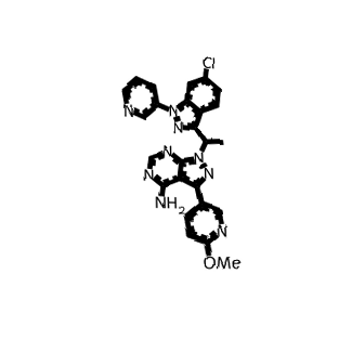 COc1ccc(-c2nn(C(C)c3nn(-c4cccnc4)c4cc(Cl)ccc34)c3ncnc(N)c23)cn1